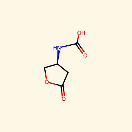 O=C(O)N[C@@H]1COC(=O)C1